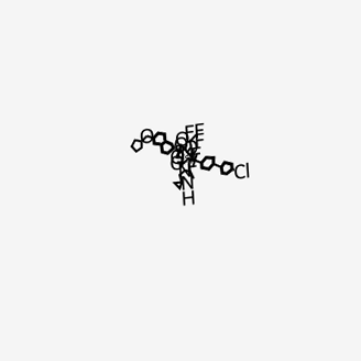 O=C([C@H](N(OC(=O)C(F)(F)F)S(=O)(=O)c1ccc2cc(OC3CCCC3)ccc2c1)C(F)(F)c1ccc(-c2ccc(Cl)cc2)cc1)N1CCNC2(CC2)C1